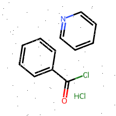 Cl.O=C(Cl)c1ccccc1.c1ccncc1